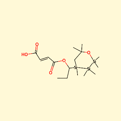 CCC(OC(=O)C=CC(=O)O)[Si]1(C)CC(C)(C)O[Si](C)(C)[Si]1(C)C